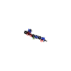 CCC(C)n1ncn(-c2ccc(N3CCN(c4ccc(OC[C@@H]5CO[C@@](Cn6nccn6)(c6ccccc6)O5)cc4F)CC3)cc2)c1=O